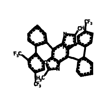 Cc1nc2c(-c3ccccc3-c3ccc(C(F)(F)F)cc3C(F)(F)F)c3oc(C)nc3c(-c3ccccc3-c3ccc(C(F)(F)F)cc3C(F)(F)F)c2o1